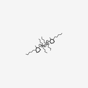 CCCCCc1cccc([O][Sn]([CH2]CCC)([CH2]CCC)[O][Sn]([CH2]CCC)([CH2]CCC)[O]c2cccc(CCCCC)c2C)c1C